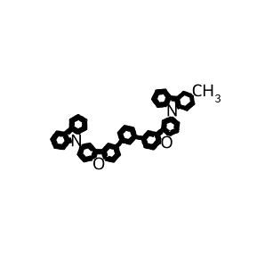 CC1C=Cc2c(c3ccccc3n2-c2ccc3oc4ccc(-c5cccc(-c6ccc7oc8ccc(-n9c%10ccccc%10c%10ccccc%109)cc8c7c6)c5)cc4c3c2)C1